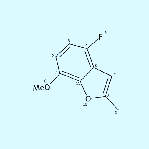 COc1ccc(F)c2cc(C)oc12